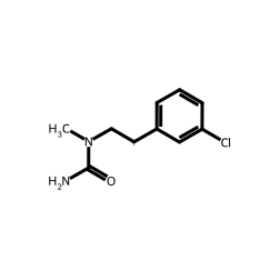 CN(C[CH]c1cccc(Cl)c1)C(N)=O